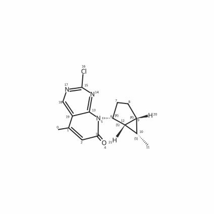 Cc1cc(=O)n([C@@H]2CC[C@@H]3[C@H](C)[C@@H]32)c2nc(Cl)ncc12